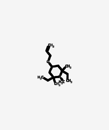 C=CCOC1CC(C)(CC)N(C)C(C)(CC)C1